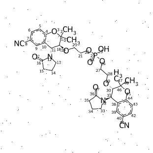 CC1(C)Oc2ccc(C#N)cc2[C@@H](N2CCCC2=O)[C@@H]1OCCOP(=O)(O)OCCO[C@H]1[C@H](N2CCCC2=O)c2cc(C#N)ccc2OC1(C)C